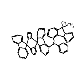 CC1(C)c2ccccc2-c2c(N(c3ccccc3)c3cccc4c3-c3ccccc3C43c4ccccc4C4(c5ccccc5-c5ccccc54)c4ccccc43)cccc21